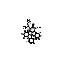 CC(Cl)N(N=O)C(=O)N(CCS)C(c1ccccc1)(c1ccccc1)c1ccccc1